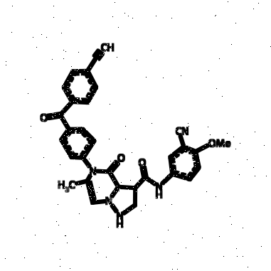 C#Cc1ccc(C(=O)c2ccc(N3C(=O)C4C(C(=O)Nc5ccc(OC)c(C#N)c5)CNN4C=C3C)cc2)cc1